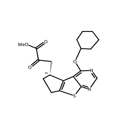 COC(=O)C(=O)C[C@H]1CCc2sc3ncnc(OC4CCCCC4)c3c21